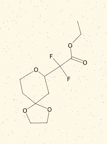 CCOC(=O)C(F)(F)C1CC2(CCO1)OCCO2